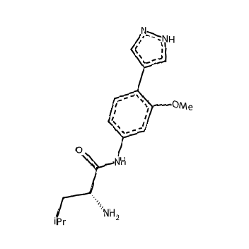 COc1cc(NC(=O)[C@H](N)CC(C)C)ccc1-c1cn[nH]c1